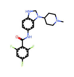 CN1CCC(N2CNc3ccc(NC(=O)c4c(F)cc(F)cc4F)cc32)CC1